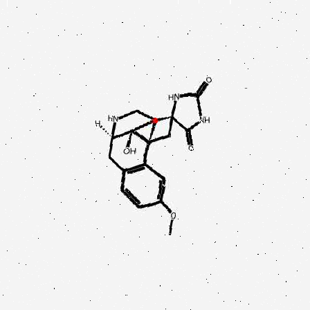 COc1ccc2c(c1)[C@]13CCN[C@H](C2)[C@]1(O)CC[C@@]1(C3)NC(=O)NC1=O